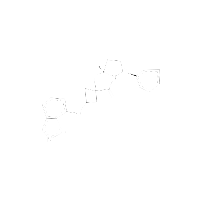 O=C1N2[C@@H](CC[C@H]2c2ccccc2)OC12CC(Oc1cccc3cnoc13)C2